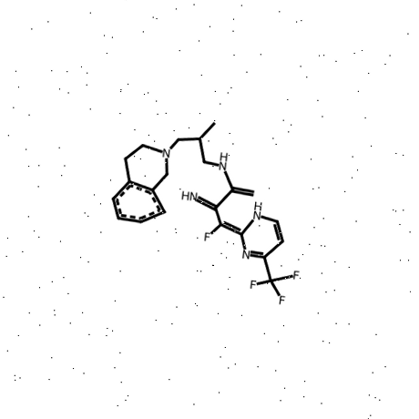 C=C(NCC(C)CN1CCc2ccccc2C1)C(=N)/C(F)=C1/N=C(C(F)(F)F)C=CN1